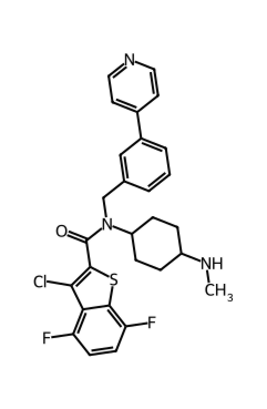 CNC1CCC(N(Cc2cccc(-c3ccncc3)c2)C(=O)c2sc3c(F)ccc(F)c3c2Cl)CC1